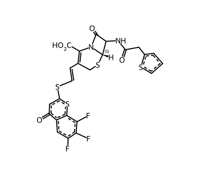 O=C(Cc1cccs1)NC1C(=O)N2C(C(=O)O)=C(C=CSc3cc(=O)c4cc(F)c(F)c(F)c4s3)CS[C@@H]12